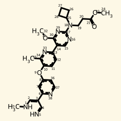 CN/C=C(\C=N)c1cc(Oc2ccc(-c3cnc(N(CCC(=O)OC)C4CCC4)nc3OC)nc2C)ccn1